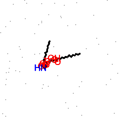 CCCCCCCCCCCCCC(=O)OCC(O)COC(=O)C(CCCCCCCCCCCC)OP1(=O)NCCO1